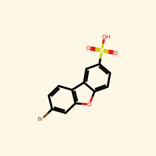 O=S(=O)(O)c1ccc2oc3cc(Br)ccc3c2c1